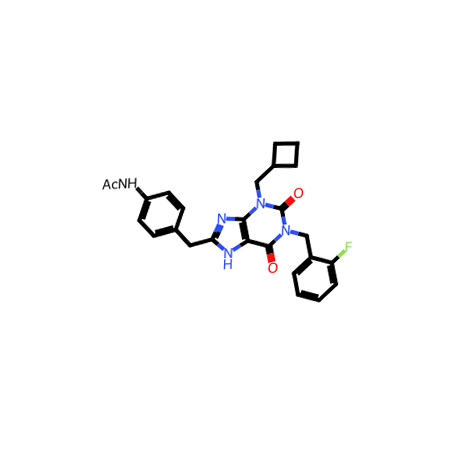 CC(=O)Nc1ccc(Cc2nc3c([nH]2)c(=O)n(Cc2ccccc2F)c(=O)n3CC2CCC2)cc1